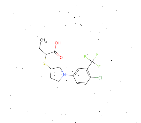 CCC(SC1CCN(c2ccc(Cl)c(C(F)(F)F)c2)C1)C(=O)O